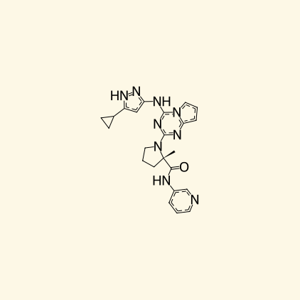 C[C@@]1(C(=O)Nc2cccnc2)CCCN1c1nc(Nc2cc(C3CC3)[nH]n2)n2cccc2n1